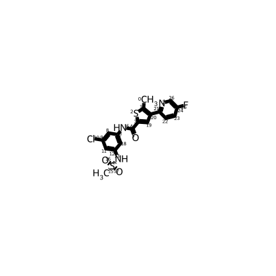 Cc1sc(C(=O)Nc2cc(Cl)cc(NS(C)(=O)=O)c2)cc1-c1ccc(F)cn1